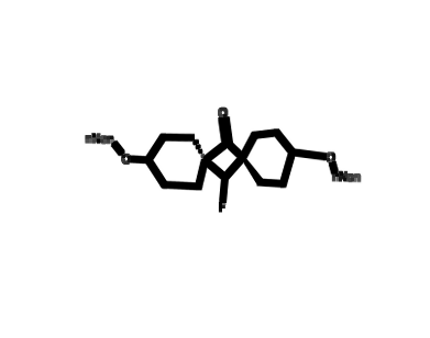 CCCCCCCCCOC1CC[C@]2(CC1)C(=O)[C@@]1(CCC(OCCCCCCCCC)CC1)C2F